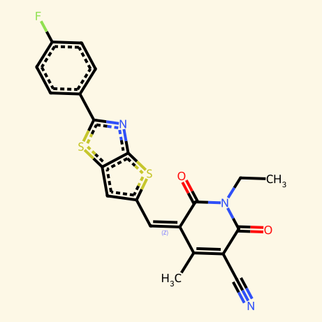 CCN1C(=O)C(C#N)=C(C)/C(=C/c2cc3sc(-c4ccc(F)cc4)nc3s2)C1=O